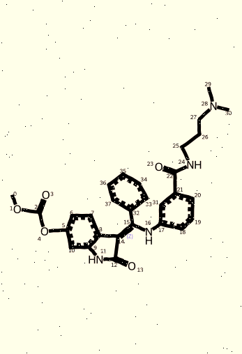 COC(=O)Oc1ccc2c(c1)NC(=O)/C2=C(\Nc1cccc(C(=O)NCCCN(C)C)c1)c1ccccc1